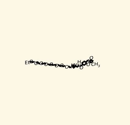 CCOCCOCCOCCOCCOCCOCCOCCOCCn1cc(CNC(=O)C2CCC(CN3C(=O)CC(C)C3=O)CC2)nn1